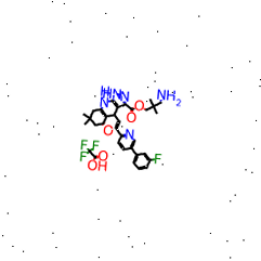 CC(C)(CN)COC(=O)c1n[nH]c2c1C(C=Cc1ccc(-c3cccc(F)c3)cn1)C1=C(CC(C)(C)CC1=O)N2.O=C(O)C(F)(F)F